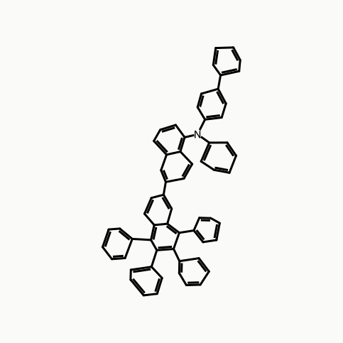 c1ccc(-c2ccc(N(c3ccccc3)c3cccc4cc(-c5ccc6c(-c7ccccc7)c(-c7ccccc7)c(-c7ccccc7)c(-c7ccccc7)c6c5)ccc34)cc2)cc1